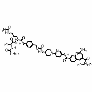 CCCCCCC(=O)N[C@H](C(=O)N[C@@H](CCCNC(N)=O)C(=O)Nc1ccc(COC(=O)NC2CCN(c3ccc(NC(=O)c4ccc5c(c4)N=C(N)CC(C(=O)N(CCC)CCC)=C5)cn3)CC2)cc1)C(C)C